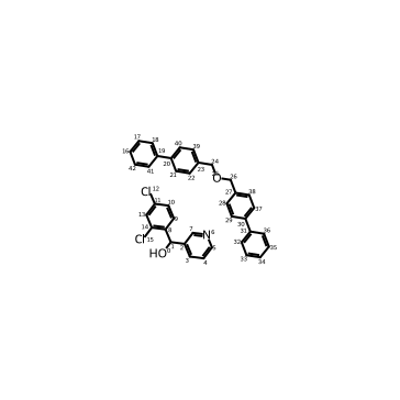 OC(c1cccnc1)c1ccc(Cl)cc1Cl.c1ccc(-c2ccc(COCc3ccc(-c4ccccc4)cc3)cc2)cc1